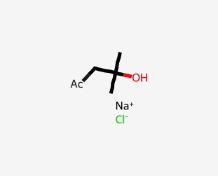 CC(=O)CC(C)(C)O.[Cl-].[Na+]